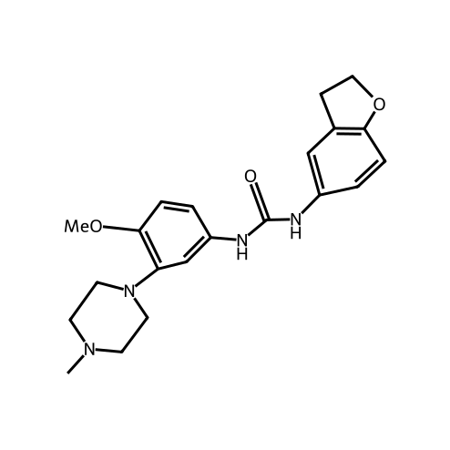 COc1ccc(NC(=O)Nc2ccc3c(c2)CCO3)cc1N1CCN(C)CC1